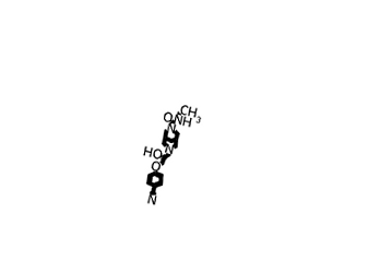 CCNC(=O)N1CC2CC(CN(C[C@H](O)COc3ccc(C#N)cc3)C2)C1